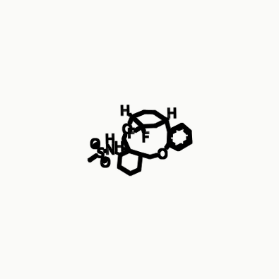 CS(=O)(=O)N[C@H]1CCCC2COc3ccccc3[C@H]3CC[C@@H](OC[C@H]21)C(F)(F)C3